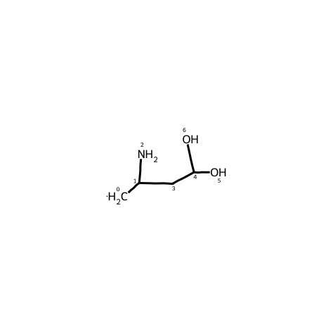 [CH2]C(N)CC(O)O